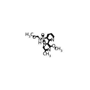 COCNS(=O)(=O)c1cccnc1-c1ncc(C)nc1OC